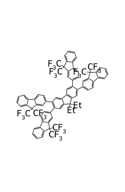 CCC1(CC)c2cc(-c3ccc4c(c3)C(C(F)(F)F)(C(F)(F)F)c3ccccc3-4)c(-c3ccc4c(c3)C(C(F)(F)F)(C(F)(F)F)c3ccccc3-4)cc2-c2cc(-c3ccc4c(c3)C(C(F)(F)F)(C(F)(F)F)c3ccccc3-4)c(-c3ccc4c(c3)C(C(F)(F)F)(C(F)(F)F)c3ccccc3-4)cc21